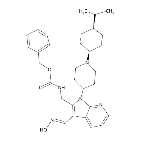 CC(C)[C@H]1CC[C@@H](N2CCC(n3c(CNC(=O)OCc4ccccc4)c(C=NO)c4cccnc43)CC2)CC1